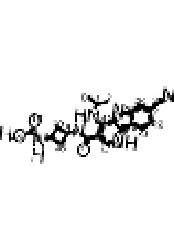 CC(C)Nc1c(C(=O)NC2CC(NC(=O)O)C2)c[nH]c2c3ccc(C#N)cc3nc1-2